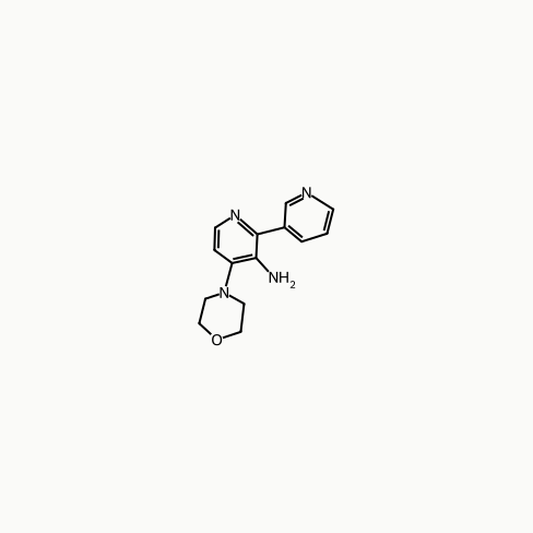 Nc1c(N2CCOCC2)ccnc1-c1cccnc1